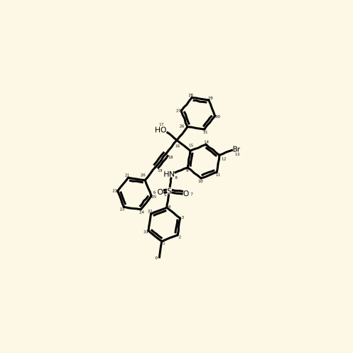 Cc1ccc(S(=O)(=O)Nc2ccc(Br)cc2C(O)(C#Cc2ccccc2)c2ccccc2)cc1